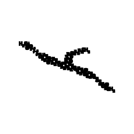 C=CC(=O)OCCCCCCOc1ccc(OC(=O)c2ccc(COc3ccc4c5ccc(OCc6ccc(C(=O)Oc7ccc(OCCCCCCOC(=O)C=C)cc7)cc6)cc5c5nc6cc(OCCCCCC)ccc6nc5c4c3)cc2)cc1